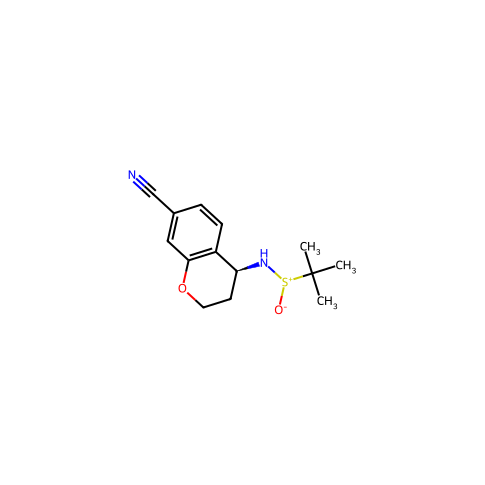 CC(C)(C)[S+]([O-])N[C@H]1CCOc2cc(C#N)ccc21